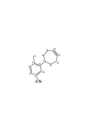 N#Cc1ccc(I)c(C2CCC#CCC2)c1